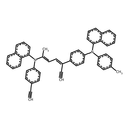 C#C/C(=C\C=C(/C)N(c1ccc(C#C)cc1)c1cccc2ccccc12)c1ccc(N(c2ccc(C)cc2)c2cccc3ccccc23)cc1